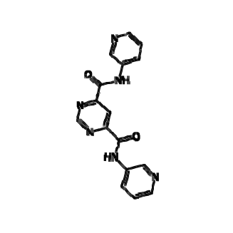 O=C(Nc1cccnc1)c1cc(C(=O)Nc2cccnc2)ncn1